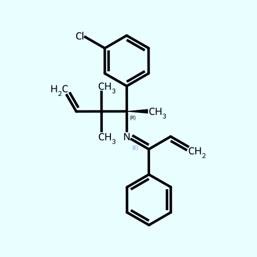 C=C/C(=N\[C@@](C)(c1cccc(Cl)c1)C(C)(C)C=C)c1ccccc1